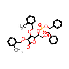 Cc1ccccc1COC1=C(OCc2ccccc2C)[C@@H]([C@H](CO)OP(=O)(OCc2ccccc2)OCc2ccccc2)OC1=O